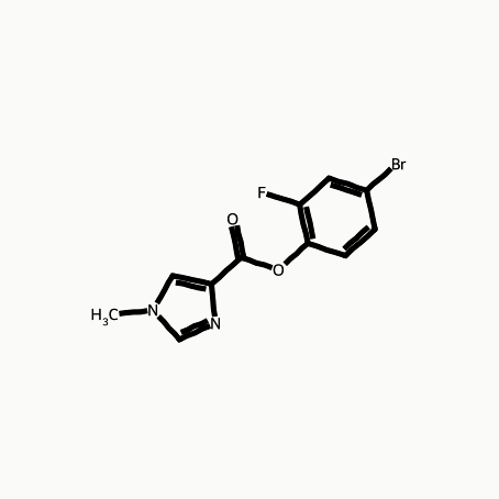 Cn1cnc(C(=O)Oc2ccc(Br)cc2F)c1